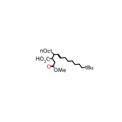 CCCCCCCCC(/C=C/CCCCCCC(C)(C)C)C(CC(=O)OC)C(=O)O